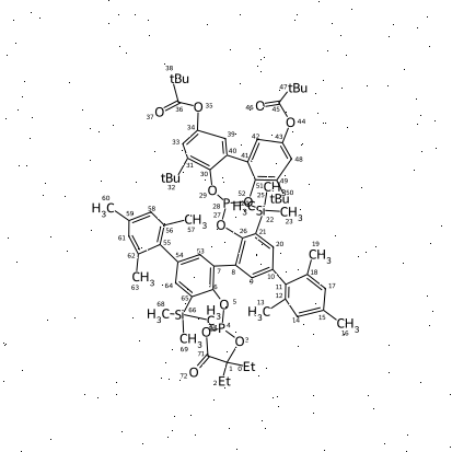 CCC1(CC)OP(Oc2c(-c3cc(-c4c(C)cc(C)cc4C)cc([Si](C)(C)C)c3Op3oc4c(C(C)(C)C)cc(OC(=O)C(C)(C)C)cc4c4cc(OC(=O)C(C)(C)C)cc(C(C)(C)C)c4o3)cc(-c3c(C)cc(C)cc3C)cc2[Si](C)(C)C)OC1=O